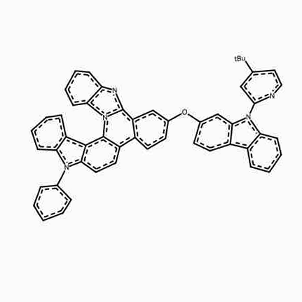 CC(C)(C)c1ccnc(-n2c3ccccc3c3ccc(Oc4ccc5c(c4)c4nc6ccccc6n4c4c5ccc5c4c4ccccc4n5-c4ccccc4)cc32)c1